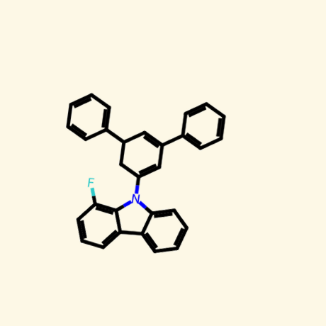 Fc1cccc2c3ccccc3n(C3=CC(c4ccccc4)=CC(c4ccccc4)C3)c12